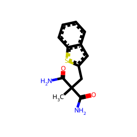 CC(Cc1cc2ccccc2s1)(C(N)=O)C(N)=O